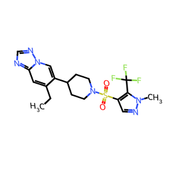 CCc1cc2ncnn2cc1C1CCN(S(=O)(=O)c2cnn(C)c2C(F)(F)F)CC1